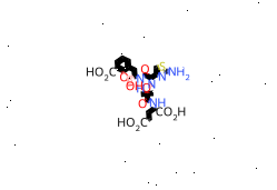 CC(C)(ON=C(C(=O)NC1Cc2cccc(C(=O)O)c2OB1O)c1csc(N)n1)C(=O)N[C@@H](CCC(=O)O)C(=O)O